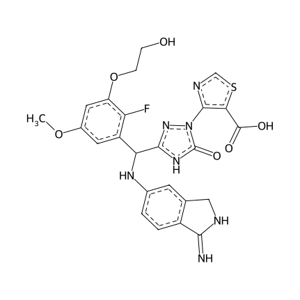 COc1cc(OCCO)c(F)c(C(Nc2ccc3c(c2)CNC3=N)c2nn(-c3ncsc3C(=O)O)c(=O)[nH]2)c1